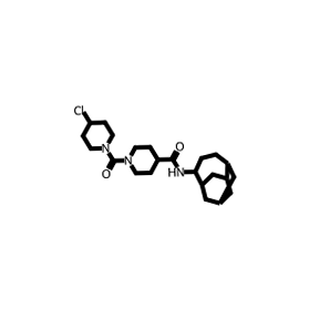 O=C(NC1CCC2CC3CC2CC1C3)C1CCN(C(=O)N2CCC(Cl)CC2)CC1